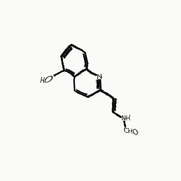 O=CNC=Cc1ccc2c(O)cccc2n1